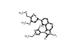 CCn1cc(-n2c(=O)n(C)c3cnc4ccc(-c5cnc(COC)c(OC)c5)cc4c32)c(C)n1